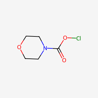 O=C(OCl)N1CCOCC1